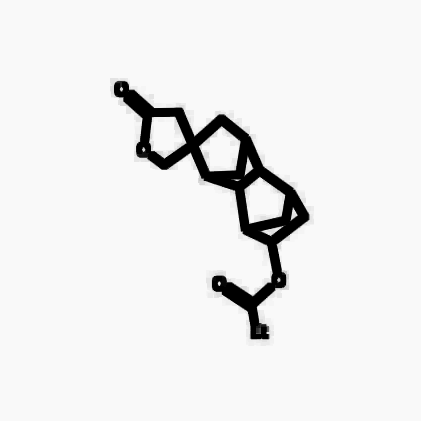 CCC(=O)OC1CC2CC1C1C2C2CC1C1(COC(=O)C1)C2